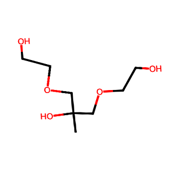 CC(O)(COCCO)COCCO